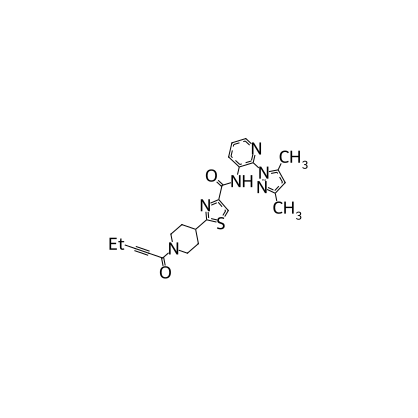 CCC#CC(=O)N1CCC(c2nc(C(=O)Nc3cccnc3-n3nc(C)cc3C)cs2)CC1